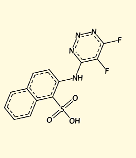 O=S(=O)(O)c1c(Nc2nnnc(F)c2F)ccc2ccccc12